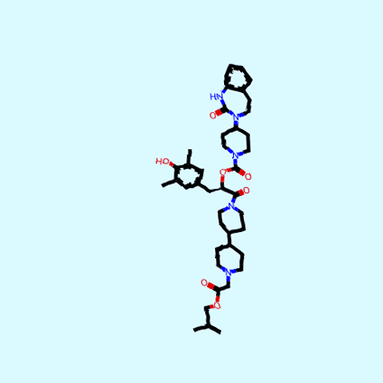 Cc1cc(C[C@@H](OC(=O)N2CCC(N3CCc4ccccc4NC3=O)CC2)C(=O)N2CCC(C3CCN(CC(=O)OCC(C)C)CC3)CC2)cc(C)c1O